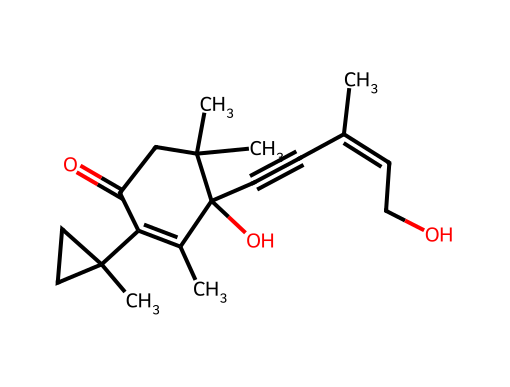 CC1=C(C2(C)CC2)C(=O)CC(C)(C)C1(O)C#C/C(C)=C\CO